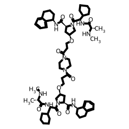 CN[C@@H](C)C(=O)N[C@H](C(=O)N1C[C@@H](OCCC(=O)N2CCN(C(=O)CCO[C@H]3C[C@@H](C(=O)N[C@@H]4CCCc5ccccc54)N(C(=O)[C@@H](NC(=O)[C@H](C)NC)C4CCCCC4)C3)CC2)C[C@H]1C(=O)N[C@@H]1CCCc2ccccc21)C1CCCCC1